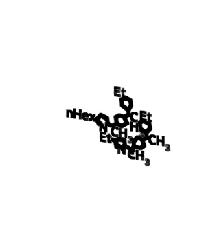 CCCCCCc1ccc(C(C)C2CCC(C(C)C3CCC(CC)CC3)CC2)nc1.CCc1ccc(C(C)C2CCC(C(C)C3CCC(CC)CC3)CC2)nc1